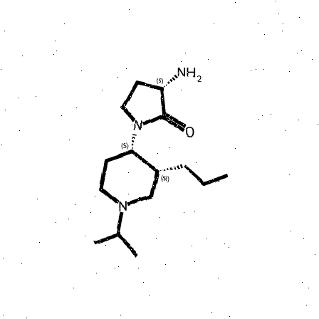 CCC[C@@H]1CN(C(C)C)CC[C@@H]1N1CC[C@H](N)C1=O